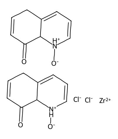 O=C1C=CCC2=CC=C[NH+]([O-])C12.O=C1C=CCC2=CC=C[NH+]([O-])C12.[Cl-].[Cl-].[Zr+2]